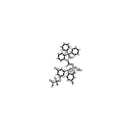 CC(C)(C)[S+]([O-])N[C@@](C/C(N=N)=N/NC(c1ccccc1)(c1ccccc1)c1ccccc1)(c1ccc(F)cc1)c1cc(F)cc(OC(F)(F)C(F)F)c1